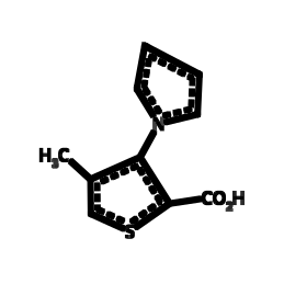 Cc1csc(C(=O)O)c1-n1cccc1